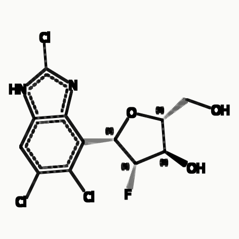 OC[C@H]1O[C@@H](c2c(Cl)c(Cl)cc3[nH]c(Cl)nc23)[C@@H](F)[C@@H]1O